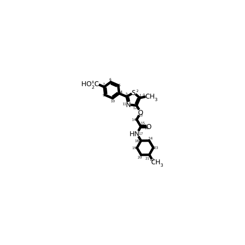 Cc1sc(-c2ccc(C(=O)O)cc2)nc1OCC(=O)NC1CCC(C)CC1